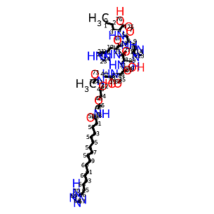 CCCC[C@H](NC(=O)[C@H](Cc1c[nH]cn1)NC(=O)[C@H](Cc1c[nH]cn1)NC(=O)[C@@H](CO)NC(=O)[C@H](CO)NC(=O)CN(OCCOCCNC(=O)CCCCCCCCCCCCCCCc1nnn[nH]1)C(C)=O)C(=O)O